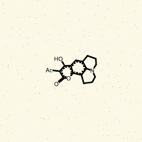 CC(=O)c1c(O)c2cc3c4c(c2oc1=O)CCCN4CCC3